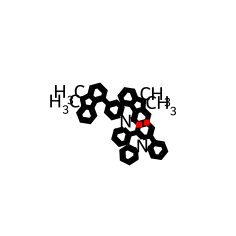 CC1(C)c2ccccc2-c2c(-c3ccc(N(c4ccccc4-c4cccc5c6ccccc6n(-c6ccccc6)c45)c4cccc5c4-c4ccccc4C5(C)C)cc3)cccc21